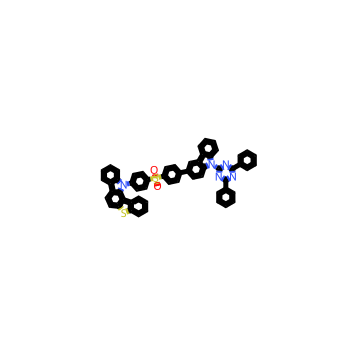 O=S(=O)(c1ccc(-c2ccc3c(c2)c2ccccc2n3-c2nc(-c3ccccc3)nc(-c3ccccc3)n2)cc1)c1ccc(-n2c3ccccc3c3ccc4sc5ccccc5c4c32)cc1